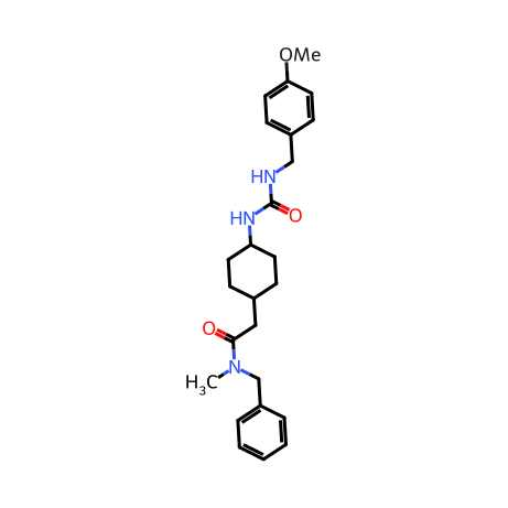 COc1ccc(CNC(=O)NC2CCC(CC(=O)N(C)Cc3ccccc3)CC2)cc1